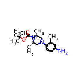 Cc1cc(N)ccc1N1C[C@@H](C)N(C(=O)OC(C)(C)C)[C@@H](C)C1